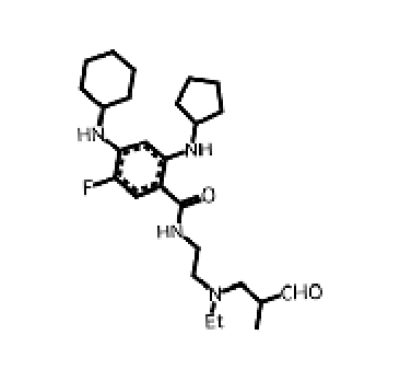 CCN(CCNC(=O)c1cc(F)c(NC2CCCCC2)cc1NC1CCCC1)CC(C)C=O